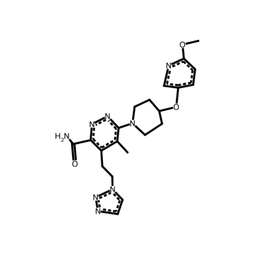 COc1ccc(OC2CCN(c3nnc(C(N)=O)c(CCn4ccnn4)c3C)CC2)cn1